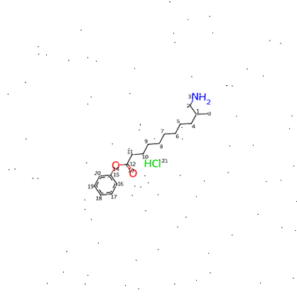 CC(CN)CCCCCCCCC(=O)Oc1ccccc1.Cl